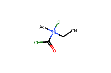 CC(=O)[N+](Cl)(CC#N)C(=O)Cl